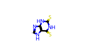 S=c1[nH]c(=S)c2[nH][c]nc2[nH]1